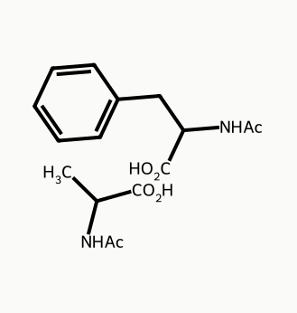 CC(=O)NC(C)C(=O)O.CC(=O)NC(Cc1ccccc1)C(=O)O